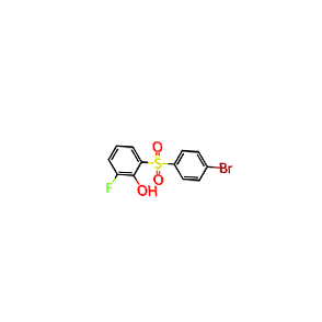 O=S(=O)(c1ccc(Br)cc1)c1cccc(F)c1O